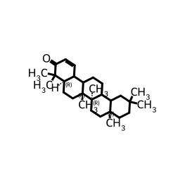 CC1(C)CC[C@]2(C)CC[C@]3(C)C(CCC4C5C=CC(=O)C(C)(C)[C@@H]5CC[C@]43C)C2C1